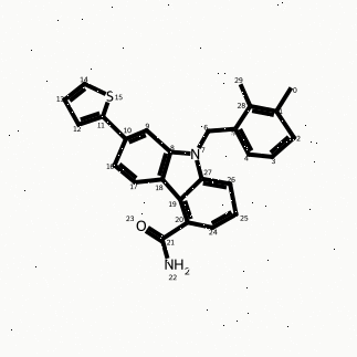 Cc1cccc(Cn2c3cc(-c4cccs4)c[c]c3c3c(C(N)=O)cccc32)c1C